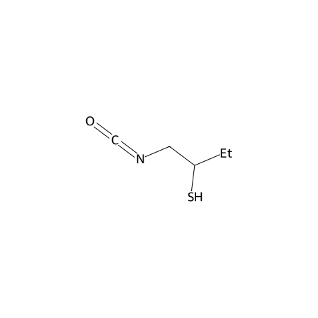 CCC(S)CN=C=O